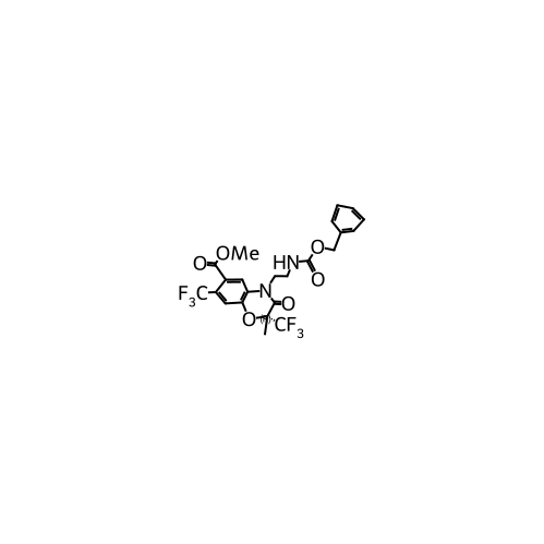 COC(=O)c1cc2c(cc1C(F)(F)F)O[C@@](C)(C(F)(F)F)C(=O)N2CCNC(=O)OCc1ccccc1